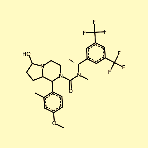 COc1ccc(C2C3CCC(O)N3CCN2C(=O)N(C)[C@H](C)c2cc(C(F)(F)F)cc(C(F)(F)F)c2)c(C)c1